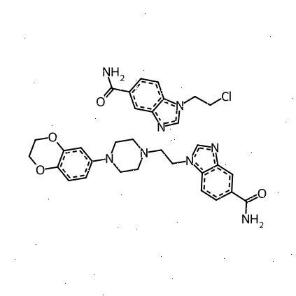 NC(=O)c1ccc2c(c1)ncn2CCCl.NC(=O)c1ccc2c(c1)ncn2CCN1CCN(c2ccc3c(c2)OCCO3)CC1